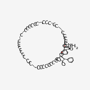 NS(=O)(=O)c1ccc(C2=C(c3ccccc3)C(=O)OC23CCCCCCCCCCCCCCCCCCCCCCCCCCCCCCCCCCCCCCCCCCCCCCCCCCC3)cc1